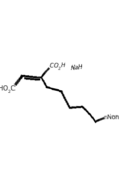 CCCCCCCCCCCCCC/C(=C\C(=O)O)C(=O)O.[NaH]